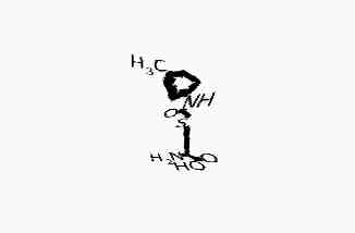 Cc1ccc(NC(=O)CSCC(N)C(=O)O)cc1